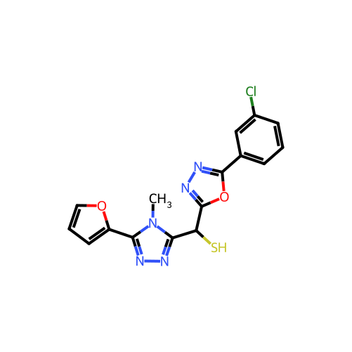 Cn1c(-c2ccco2)nnc1C(S)c1nnc(-c2cccc(Cl)c2)o1